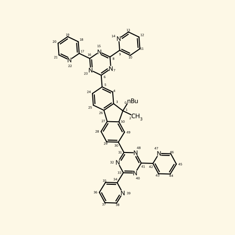 CCCCC1(C)c2cc(-c3nc(-c4ccccn4)nc(-c4ccccn4)n3)ccc2-c2ccc(-c3nc(-c4ccccn4)nc(-c4ccccn4)n3)cc21